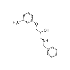 Cc1cccc(OCC(O)CNCc2ccccc2)c1